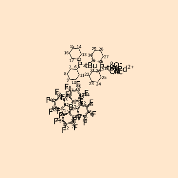 CC#N.CC(=O)[O-].CC(C)(C)P(C1CCCCC1)C1CCCCC1.CC(C)(C)P(C1CCCCC1)C1CCCCC1.Fc1c(F)c(F)c([B-](c2c(F)c(F)c(F)c(F)c2F)(c2c(F)c(F)c(F)c(F)c2F)c2c(F)c(F)c(F)c(F)c2F)c(F)c1F.[Pd+2]